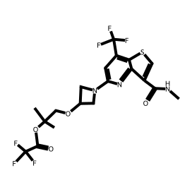 CNC(=O)c1csc2c(C(F)(F)F)cc(N3CC(OCC(C)(C)OC(=O)C(F)(F)F)C3)nc12